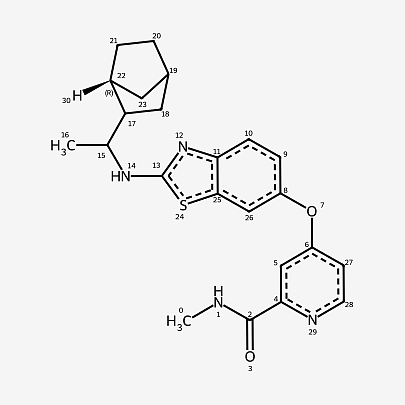 CNC(=O)c1cc(Oc2ccc3nc(NC(C)C4CC5CC[C@@H]4C5)sc3c2)ccn1